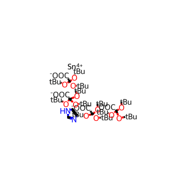 CC(C)(C)OC(OC(C)(C)C)(OC(C)(C)C)C(=O)[O-].CC(C)(C)OC(OC(C)(C)C)(OC(C)(C)C)C(=O)[O-].CC(C)(C)OC(OC(C)(C)C)(OC(C)(C)C)C(=O)[O-].CC(C)(C)OC(OC(C)(C)C)(OC(C)(C)C)C(=O)[O-].[Sn+4].c1c[nH]cn1